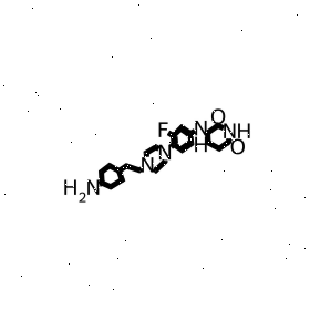 NC1CCC(CCN2CCN(c3ccc(NC4CCC(=O)NC4=O)cc3F)CC2)CC1